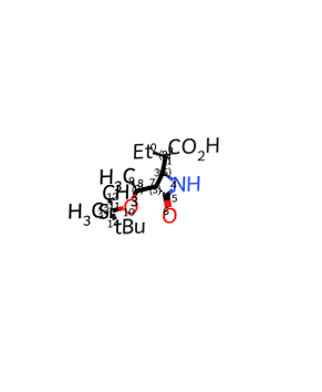 CC[C@@H](C(=O)O)[C@H]1NC(=O)[C@@H]1[C@@H](C)O[Si](C)(C)C(C)(C)C